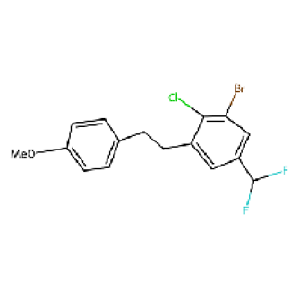 COc1ccc(CCc2cc(C(F)F)cc(Br)c2Cl)cc1